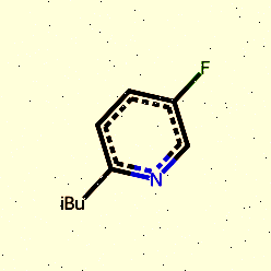 CCC(C)c1ccc(F)cn1